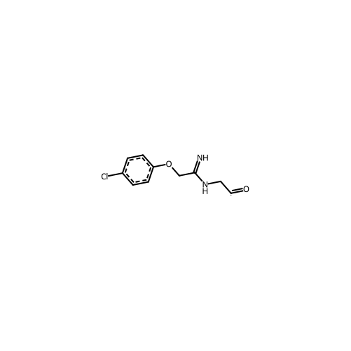 N=C(COc1ccc(Cl)cc1)NC[C]=O